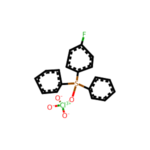 [O-][Cl+3]([O-])([O-])OS(c1ccccc1)(c1ccccc1)c1ccc(F)cc1